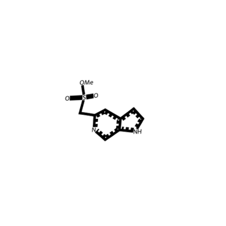 COS(=O)(=O)Cc1cc2cc[nH]c2cn1